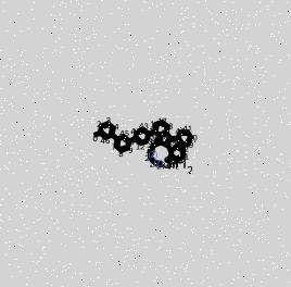 Cc1cccc(-c2cccc(C3=CCC(c4cccc5c4C4(C)C/C=C\C=C/[SiH2][C@@H]6C=CC=CC6C4=C5c4ccccc4)C=C3)c2)c1